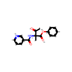 CC(=O)C(C)(NC(=O)c1cccnc1)C(=O)Oc1ccccc1